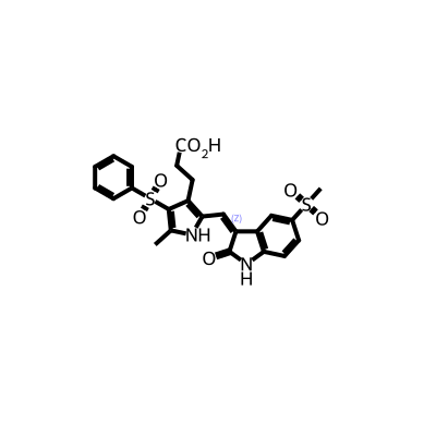 Cc1[nH]c(/C=C2\C(=O)Nc3ccc(S(C)(=O)=O)cc32)c(CCC(=O)O)c1S(=O)(=O)c1ccccc1